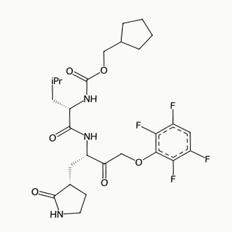 CC(C)C[C@H](NC(=O)OCC1CCCC1)C(=O)N[C@@H](C[C@@H]1CCNC1=O)C(=O)COc1c(F)c(F)cc(F)c1F